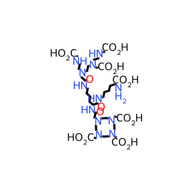 NC(CCCCNC(=O)C(CCCCNC(=O)CN(CCNCC(=O)O)CCN(CCNCC(=O)O)CC(=O)O)NC(=O)CN1CCN(CC(=O)O)CCN(CC(=O)O)CCN(CC(=O)O)CC1)C(=O)O